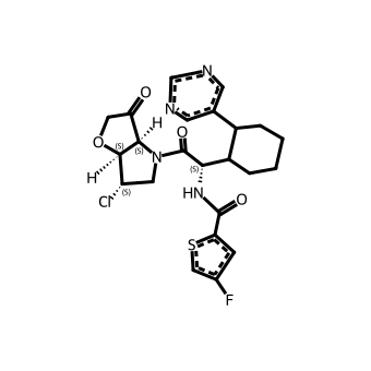 O=C(N[C@H](C(=O)N1C[C@H](Cl)[C@H]2OCC(=O)[C@H]21)C1CCCCC1c1cncnc1)c1cc(F)cs1